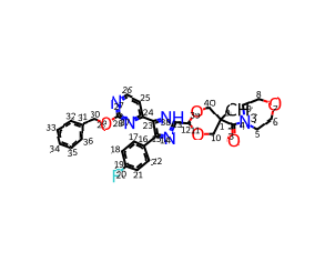 CC1(C(=O)N2CCOCC2)COC(c2nc(-c3ccc(F)cc3)c(-c3ccnc(OCc4ccccc4)n3)[nH]2)OC1